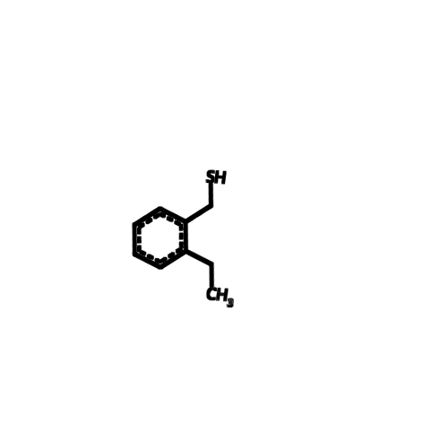 CCc1ccccc1CS